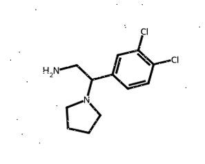 NCC(c1ccc(Cl)c(Cl)c1)N1CCCC1